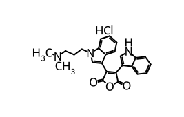 CN(C)CCCn1cc(C2=C(c3c[nH]c4ccccc34)C(=O)OC2=O)c2ccccc21.Cl